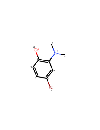 CN(C)c1cc(Br)ccc1O